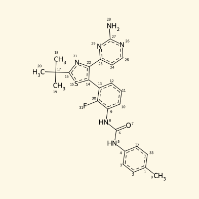 Cc1ccc(NC(=O)Nc2cccc(-c3sc(C(C)(C)C)nc3-c3ccnc(N)n3)c2F)cc1